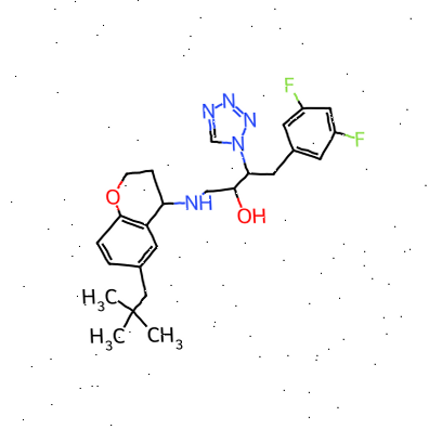 CC(C)(C)Cc1ccc2c(c1)C(NCC(O)C(Cc1cc(F)cc(F)c1)n1cnnn1)CCO2